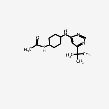 CC(=O)NC1CCC(Nc2cc(C(C)(C)C)ncn2)CC1